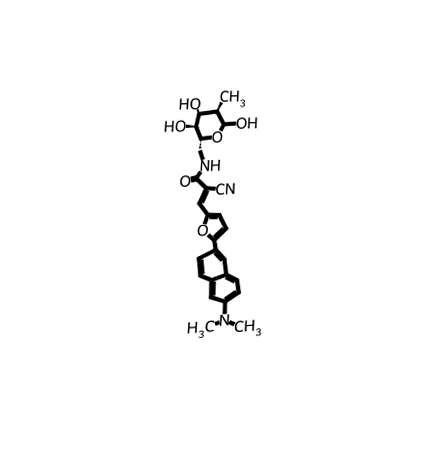 C[C@H]1C(O)O[C@H](CNC(=O)/C(C#N)=C/c2ccc(-c3ccc4cc(N(C)C)ccc4c3)o2)[C@@H](O)[C@@H]1O